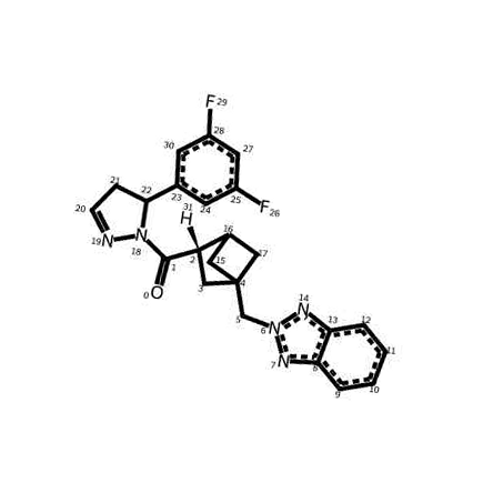 O=C([C@H]1CC2(Cn3nc4ccccc4n3)CC1C2)N1N=CCC1c1cc(F)cc(F)c1